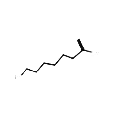 C=C(CCCCCCC(C)C)NC